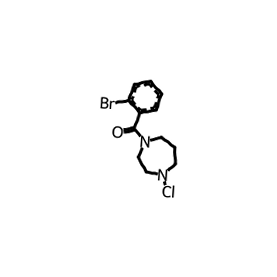 O=C(c1ccccc1Br)N1CCCN(Cl)CC1